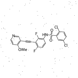 COc1ccncc1C#Cc1c(F)ccc(NS(=O)(=O)c2cc(Cl)ccc2Cl)c1F